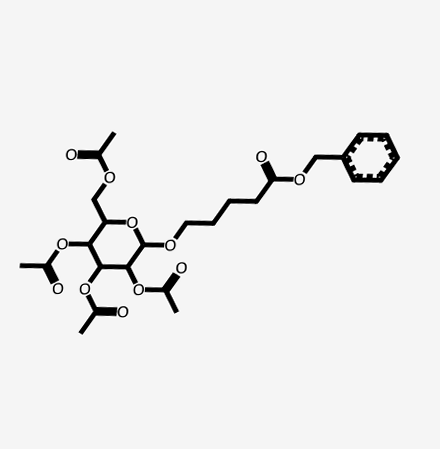 CC(=O)OCC1OC(OCCCCC(=O)OCc2ccccc2)C(OC(C)=O)C(OC(C)=O)C1OC(C)=O